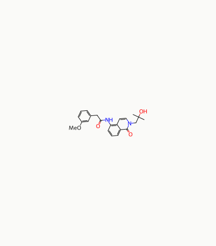 COc1cccc(CC(=O)Nc2cccc3c(=O)n(CC(C)(C)O)ccc23)c1